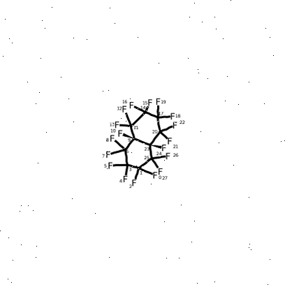 FC1(F)C(F)(F)C(F)(F)[C@]2(F)C(F)(F)C(F)(F)C(F)(F)C(F)(F)[C@]2(F)C1(F)F